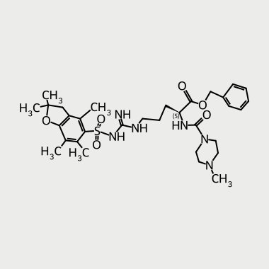 Cc1c(C)c(S(=O)(=O)NC(=N)NCCC[C@H](NC(=O)N2CCN(C)CC2)C(=O)OCc2ccccc2)c(C)c2c1OC(C)(C)C2